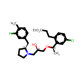 CCOC(=O)CCc1ccc(Cl)cc1[C@@H](C)OC[C@H](O)CN1CCC[C@H]1Cc1ccc(C)c(F)c1